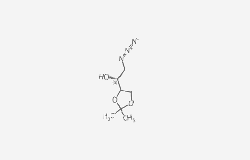 CC1(C)OCC([C@@H](O)CN=[N+]=[N-])O1